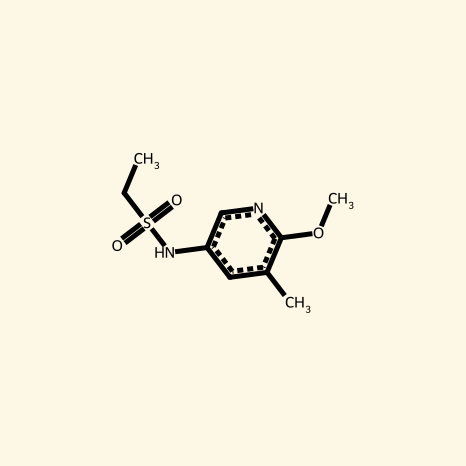 CCS(=O)(=O)Nc1cnc(OC)c(C)c1